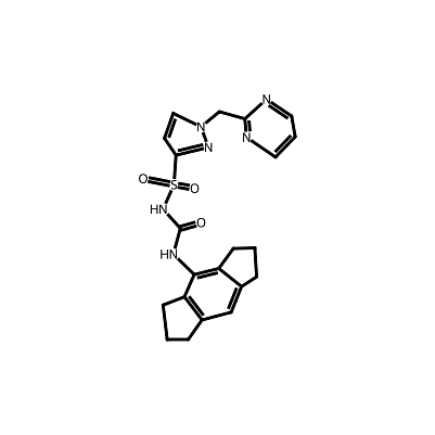 O=C(Nc1c2c(cc3c1CCC3)CCC2)NS(=O)(=O)c1ccn(Cc2ncccn2)n1